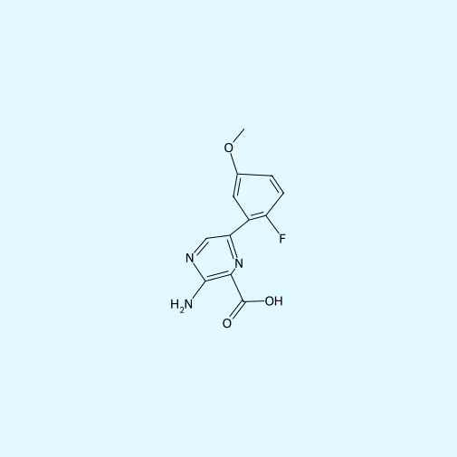 COc1ccc(F)c(-c2cnc(N)c(C(=O)O)n2)c1